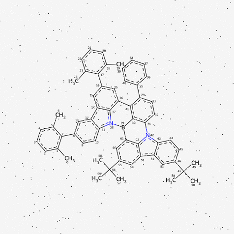 Cc1cccc(C)c1-c1ccc2c(c1)c1cc(-c3c(C)cccc3C)cc3c1n2B1c2c(ccc(-c4ccccc4)c2-3)-n2c3ccc(C(C)(C)C)cc3c3cc(C(C)(C)C)cc1c32